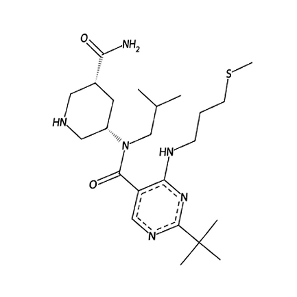 CSCCCNc1nc(C(C)(C)C)ncc1C(=O)N(CC(C)C)[C@@H]1CNC[C@H](C(N)=O)C1